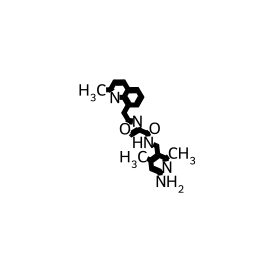 Cc1ccc2cccc(Cc3nc(C(=O)NCc4c(C)cc(N)nc4C)co3)c2n1